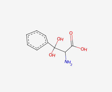 NC(C(=O)O)C(O)(O)c1ccccc1